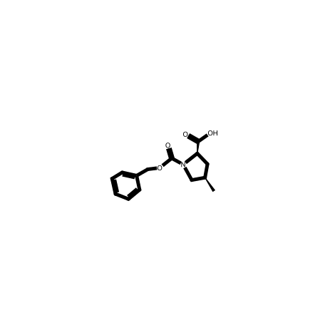 C[C@@H]1C[C@H](C(=O)O)N(C(=O)OCc2ccccc2)C1